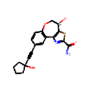 NC(=O)c1nc2c(s1)[C@H](O)COc1ccc(C#CC3(O)CCCC3)cc1-2